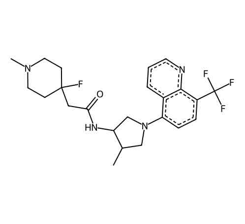 CC1CN(c2ccc(C(F)(F)F)c3ncccc23)CC1NC(=O)CC1(F)CCN(C)CC1